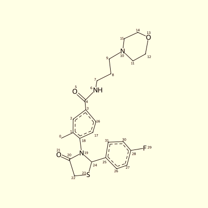 Cc1cc(C(=O)NCCCN2CCOCC2)ccc1N1C(=O)CSC1c1ccc(F)cc1